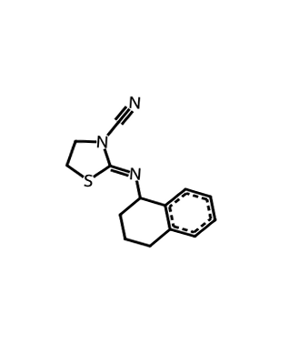 N#CN1CCS/C1=N\C1CCCc2ccccc21